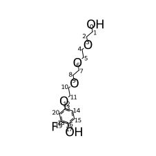 OCCOCCOCCOCCOc1ccc(O)c(F)c1